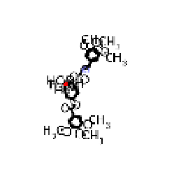 COc1cc(/C=C/C(=O)O[C@H]2[C@@H](O)[C@@H]3C[C@H](OC(=O)c4cc(OC)c(OC)c(OC)c4)C[C@H]2[N+]3(C)[O-])cc(OC)c1OC